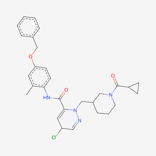 Cc1cc(OCc2ccccc2)ccc1NC(=O)C1=CC(Cl)C=NN1CC1CCCN(C(=O)C2CC2)C1